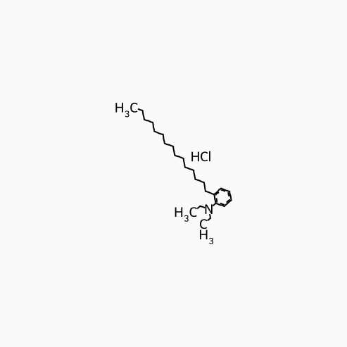 CCCCCCCCCCCCCCCc1ccccc1N(CC)CC.Cl